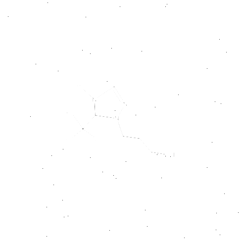 CCCCN1N=CN(Br)C1C(Cl)(Cl)Cl